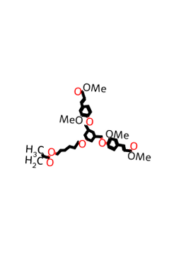 C=C(C)C(=O)OCCCCCCOC1CC(COc2ccc(C=CC(=O)OC)cc2OC)CC(COc2ccc(C=CC(=O)OC)cc2OC)C1